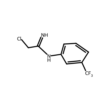 N=C(CCl)Nc1cccc(C(F)(F)F)c1